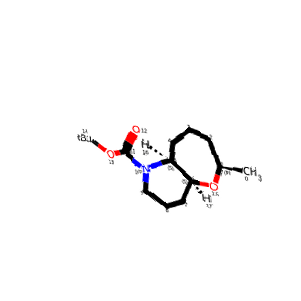 C[C@@H]1CCC[C@H]2[C@H](CCCN2C(=O)OC(C)(C)C)O1